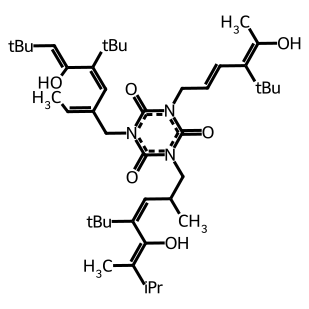 C\C=C(/C=C(\C(O)=C\C(C)(C)C)C(C)(C)C)Cn1c(=O)n(C/C=C/C(=C(\C)O)C(C)(C)C)c(=O)n(CC(C)/C=C(\C(O)=C(/C)C(C)C)C(C)(C)C)c1=O